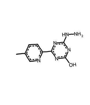 Cc1ccc(-c2nc(O)nc(NN)n2)nc1